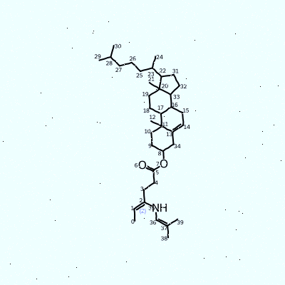 C/C=C(/CCC(=O)OC1CCC2(C)C(=CCC3C2CCC2(C)C(C(C)CCCC(C)C)CCC32)C1)NC=C(C)C